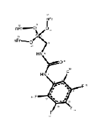 CCCO[Si](CNC(=O)Nc1c(F)c(F)c(F)c(F)c1F)(OCCC)OCCC